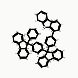 C1=Cc2c(oc3c(-c4ccc(C5(c6ccc(C7(c8ccccc8)c8ccccc8-c8ccccc87)cc6)c6ccccc6-c6ccccc65)cc4)cccc23)CC1